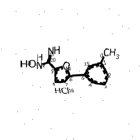 Cc1cccc(-c2ccc(C(=N)NO)o2)c1.Cl